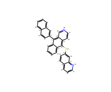 c1ccc2cc(-c3c4ccccc4c(Sc4ccc5cccnc5c4)c4ccncc34)ccc2c1